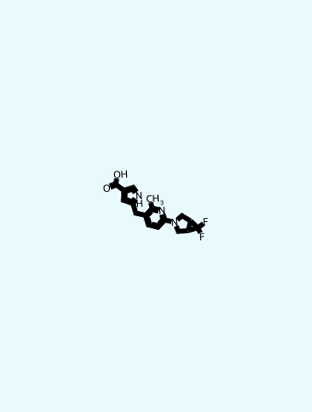 Cc1nc(N2CC3C(C2)C3(F)F)ccc1Cc1cc(C(=O)O)c[nH]1